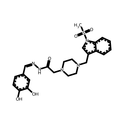 CS(=O)(=O)n1cc(CN2CCN(CC(=O)N/N=C\c3ccc(O)c(O)c3)CC2)c2ccccc21